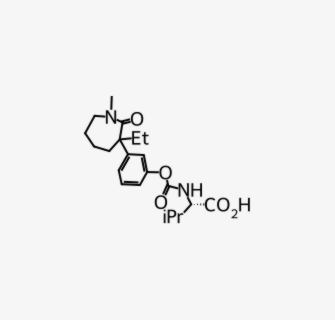 CCC1(c2cccc(OC(=O)N[C@H](C(=O)O)C(C)C)c2)CCCCN(C)C1=O